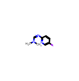 CN(C)/C=N\c1ccc(I)cn1